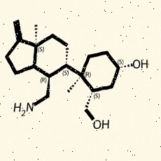 C=C1CCC2[C@H](CN)[C@@H]([C@@]3(C)CC[C@H](O)C[C@@H]3CO)CC[C@]12C